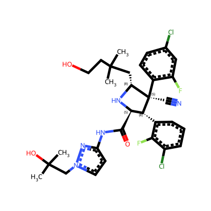 CC(C)(O)Cn1ccc(NC(=O)[C@H]2N[C@H](CC(C)(C)CCO)[C@@](C#N)(c3ccc(Cl)cc3F)[C@@H]2c2cccc(Cl)c2F)n1